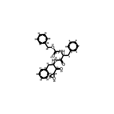 O=C(NC(Cc1ccccc1)C(=O)NC(Cc1ccccc1)C(=O)C1CO1)OCc1ccccc1